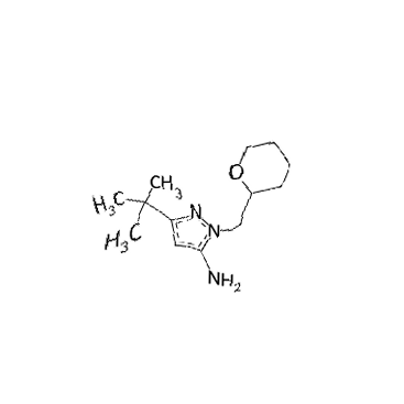 CC(C)(C)c1cc(N)n(CC2CCCCO2)n1